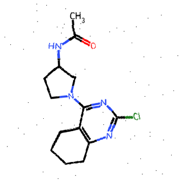 CC(=O)NC1CCN(c2nc(Cl)nc3c2CCCC3)C1